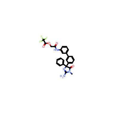 CN1C(=O)C(c2ccccc2)(c2cccc(-c3cccc(NC(=O)COC(=O)C(F)(F)F)c3)c2)N=C1N